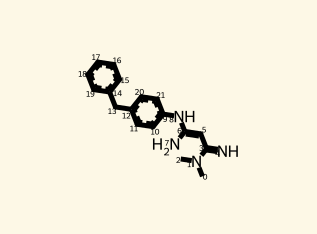 CN(C)C(=N)/C=C(\N)Nc1ccc(Cc2ccccc2)cc1